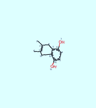 CC1=C(C)Cc2c(O)ccc(O)c2C1